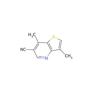 Cc1csc2c(C)c(C#N)cnc12